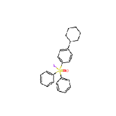 O=S(I)(c1ccccc1)(c1ccccc1)c1ccc(C2CCCCC2)cc1